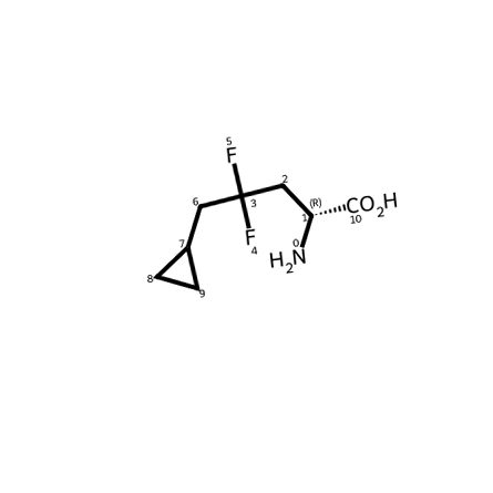 N[C@H](CC(F)(F)CC1CC1)C(=O)O